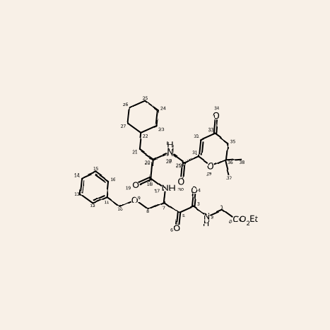 CCOC(=O)CNC(=O)C(=O)C(COCc1ccccc1)NC(=O)C(CC1CCCCC1)NC(=O)C1=CC(=O)CC(C)(C)O1